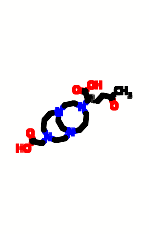 CC(=O)CC[C@@H](C(=O)O)N1CCCN2CCN(CCCN(CC(=O)O)CC2)CC1